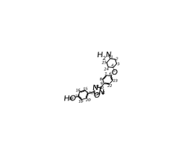 N[C@H]1CC[C@H](Oc2ccc(-c3noc(-c4ccc(O)cc4)n3)cc2)CC1